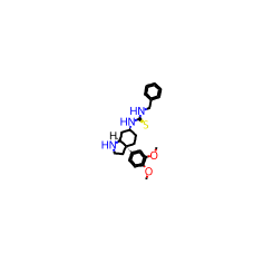 COc1ccc([C@]23CCN[C@H]2C[C@@H](NC(=S)NCc2ccccc2)CC3)cc1OC